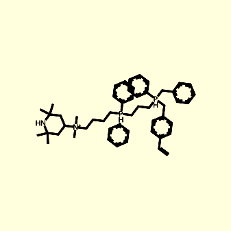 C=Cc1ccc(C[PH](CCC[PH](CCCC[N+](C)(C)C2CC(C)(C)NC(C)(C)C2)(c2ccccc2)c2ccccc2)(Cc2ccccc2)c2ccccc2)cc1